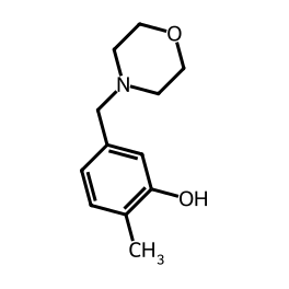 Cc1ccc(CN2CCOCC2)cc1O